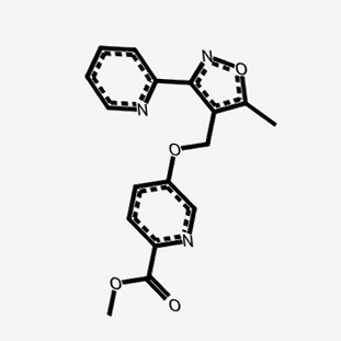 COC(=O)c1ccc(OCc2c(-c3ccccn3)noc2C)cn1